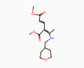 COC(=O)C=CC(C(=O)OC)=C(C)NCC1CCOCC1